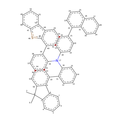 CC1(C)c2ccccc2-c2c(-c3ccccc3N(c3ccc(-c4cccc5ccccc45)cc3)c3ccccc3-c3cccc4c3sc3ccccc34)cccc21